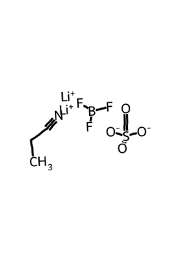 CCC#N.FB(F)F.O=S(=O)([O-])[O-].[Li+].[Li+]